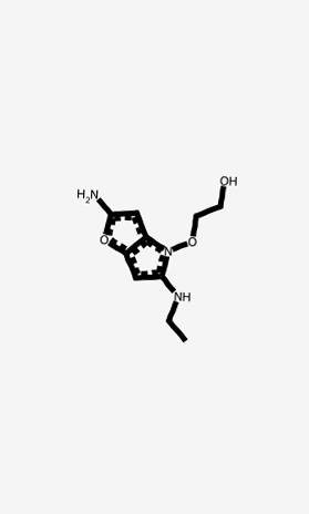 CCNc1cc2oc(N)cc2n1OCCO